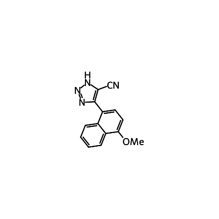 COc1ccc(-c2nn[nH]c2C#N)c2ccccc12